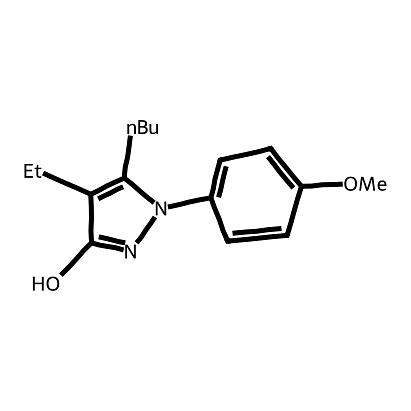 CCCCc1c(CC)c(O)nn1-c1ccc(OC)cc1